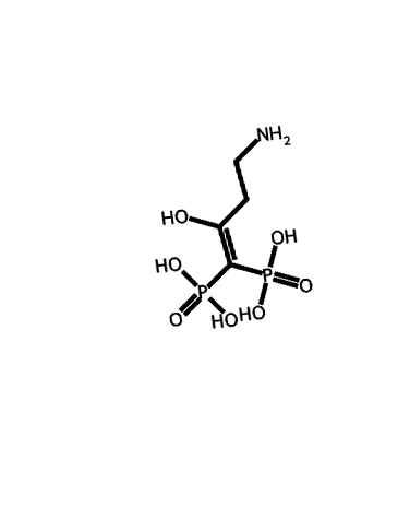 NCCC(O)=C(P(=O)(O)O)P(=O)(O)O